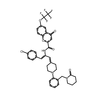 O=C(N/C(C=C1CCN(c2ccccc2CN2CCCCC2=O)CC1)=C\c1ccc(Cl)cc1)c1cc(=O)c2cc(OC(F)(F)C(F)(F)F)ccc2o1